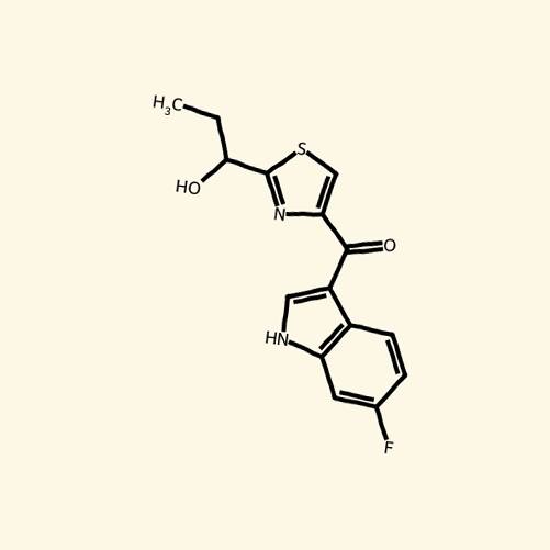 CCC(O)c1nc(C(=O)c2c[nH]c3cc(F)ccc23)cs1